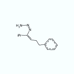 CC(C)C(=C/CCc1ccccc1)/N=N\N